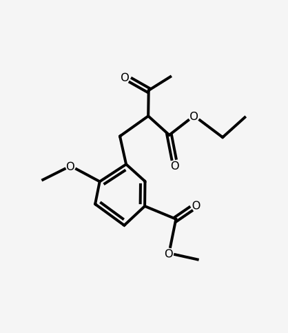 CCOC(=O)C(Cc1cc(C(=O)OC)ccc1OC)C(C)=O